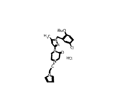 Cc1cc(N2CCN(CCn3cccc3)CC2=O)nn1Cc1cc(Cl)ccc1OCC(C)C.Cl